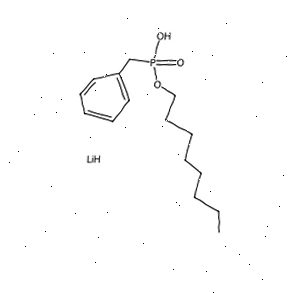 CCCCCCCCOP(=O)(O)Cc1ccccc1.[LiH]